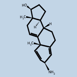 C[C@]12C=C[C@H](N)C=C1CC[C@@H]1C2=CC[C@]2(C)[C@@H](O)CC[C@@H]12